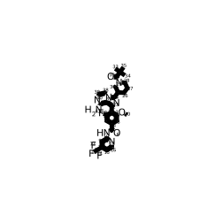 COc1cc(C(=O)Nc2cc(C(F)(F)F)ccn2)cc(F)c1-c1nc(C2CCCN(C(=O)C(C)(C)C)C2)n2ccnc(N)c12